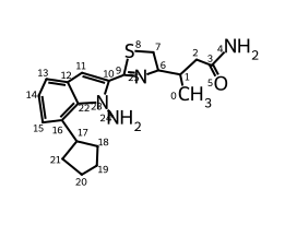 CC(CC(N)=O)C1CSC(c2cc3cccc(C4CCCC4)c3n2N)=N1